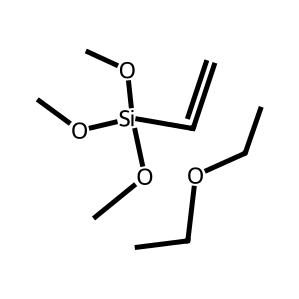 C=C[Si](OC)(OC)OC.CCOCC